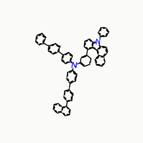 C1=C(c2cccc3c2c2c4ccccc4ccc2n3-c2ccccc2)CCC=C1N(c1ccc(-c2ccc(-c3ccccc3)cc2)cc1)c1ccc(-c2ccc(-c3cccc4ccccc34)cc2)cc1